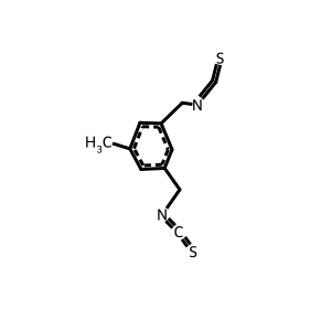 Cc1cc(CN=C=S)cc(CN=C=S)c1